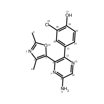 Cc1nc(C)c(-c2nc(N)cnc2-c2ccc(O)c(Cl)c2)o1